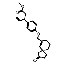 C=C[C@@H](CC(=O)OC)c1ccc(OCC2=C[C@]3(CCC2)CCC(=O)C3)cc1